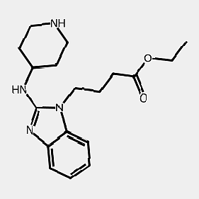 CCOC(=O)CCCn1c(NC2CCNCC2)nc2ccccc21